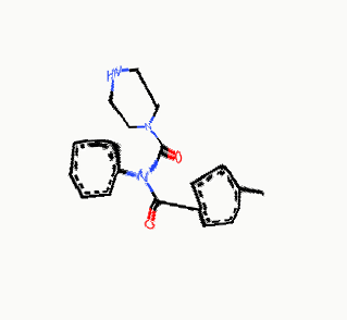 Cc1ccc(C(=O)N(C(=O)N2CCNCC2)c2ccccc2)cc1